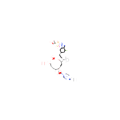 C/C(=C\c1cc(F)c2cnn(S(=O)(=O)C3COC3)c2c1)[C@H]1OC(=O)C[C@H](O)CC[C@H](C)[C@@H](OC(=O)N2CCN(C)CC2)/C=C/[C@@H]1C